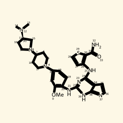 COc1cc(N2CCC(N3CC[C@@H](N(C)C)C3)CC2)ccc1Nc1nc(Nc2ccsc2C(N)=O)c2ccnc-2[nH]1